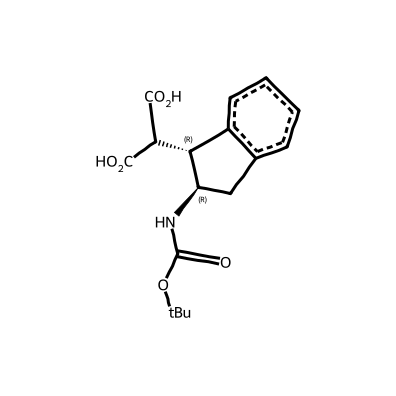 CC(C)(C)OC(=O)N[C@@H]1Cc2ccccc2[C@H]1C(C(=O)O)C(=O)O